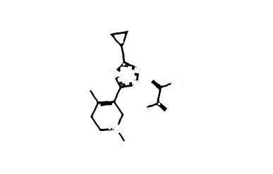 CC1=C(c2nc(C3CC3)no2)CN(C)CC1.O=C(O)C(=O)O